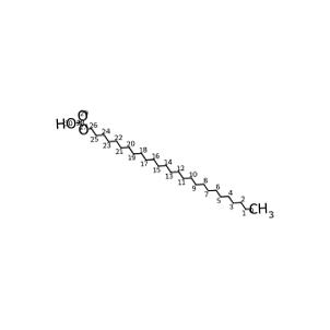 CCCCCCCCCCCCCCCCCCCCCCCCCCCOC(=O)O